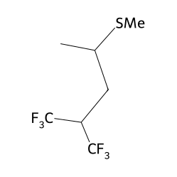 CSC(C)CC(C(F)(F)F)C(F)(F)F